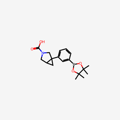 CC1(C)OB(c2cccc(C34CC3CN(C(=O)O)C4)c2)OC1(C)C